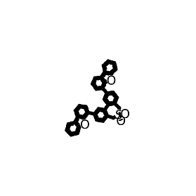 O=S1(=O)Cc2ccc(-c3cccc4c3oc3ccccc34)cc2-c2cc(-c3cccc4c3oc3ccccc34)ccc2C1